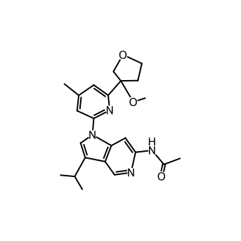 COC1(c2cc(C)cc(-n3cc(C(C)C)c4cnc(NC(C)=O)cc43)n2)CCOC1